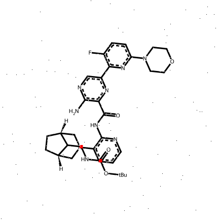 CC(C)(C)OC(=O)NCC1[C@@H]2CC[C@H]1CN(c1cccnc1NC(=O)c1nc(-c3nc(N4CCOCC4)ccc3F)cnc1N)C2